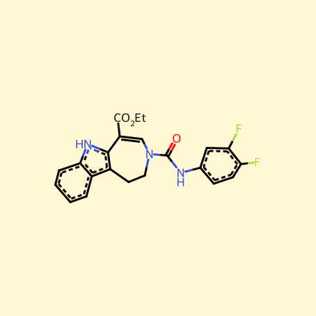 CCOC(=O)C1=CN(C(=O)Nc2ccc(F)c(F)c2)CCc2c1[nH]c1ccccc21